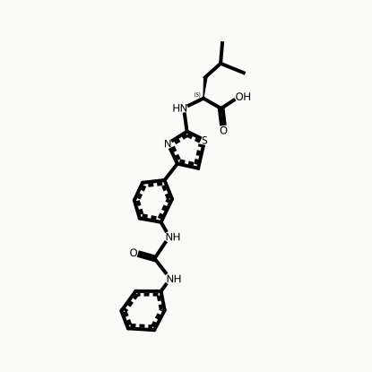 CC(C)C[C@H](Nc1nc(-c2cccc(NC(=O)Nc3ccccc3)c2)cs1)C(=O)O